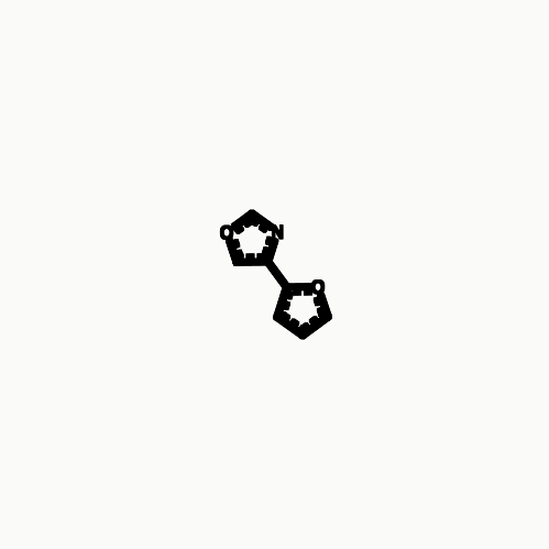 c1coc(-c2cocn2)c1